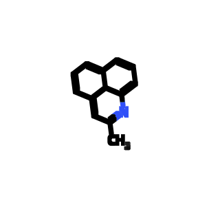 CC1=NC2=CC=CC3=CC=CC(=C1)C32